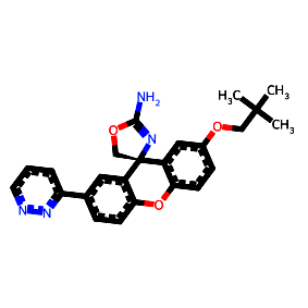 CC(C)(C)COc1ccc2c(c1)[C@]1(COC(N)=N1)c1cc(-c3cccnn3)ccc1O2